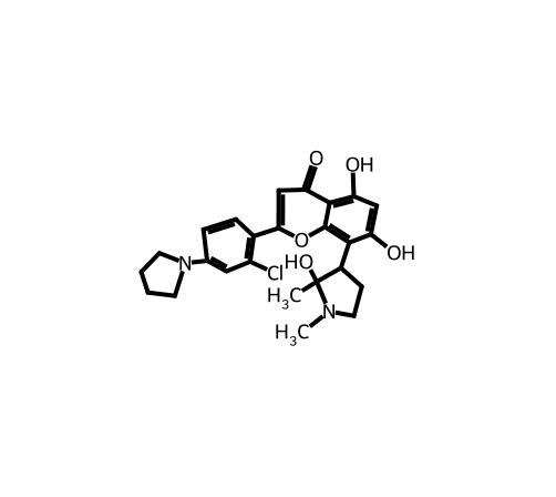 CN1CCC(c2c(O)cc(O)c3c(=O)cc(-c4ccc(N5CCCC5)cc4Cl)oc23)C1(C)O